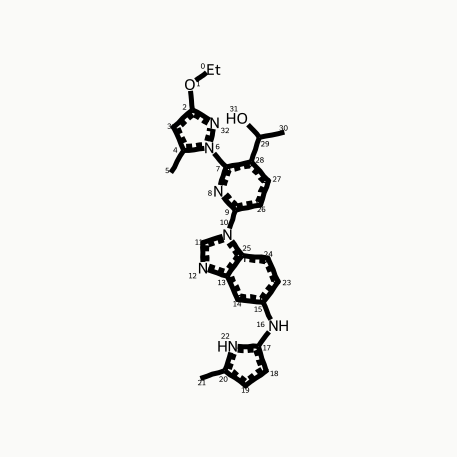 CCOc1cc(C)n(-c2nc(-n3cnc4cc(Nc5ccc(C)[nH]5)ccc43)ccc2C(C)O)n1